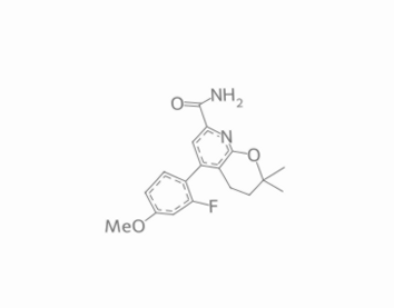 COc1ccc(-c2cc(C(N)=O)nc3c2CCC(C)(C)O3)c(F)c1